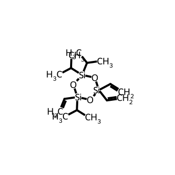 C=C[Si]1(C=C)O[Si](C=C)(C(C)C)O[Si](C(C)C)(C(C)C)O1